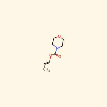 CC=COC(=O)N1CCOCC1